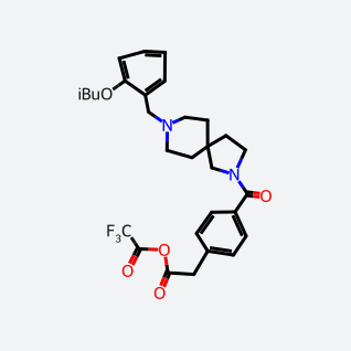 CC(C)COc1ccccc1CN1CCC2(CC1)CCN(C(=O)c1ccc(CC(=O)OC(=O)C(F)(F)F)cc1)C2